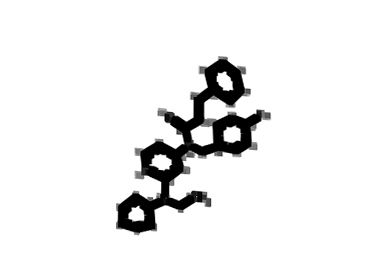 CCN(c1ccccc1)c1cc(N(Cc2ccc(F)cc2)C(=O)C=Cc2ccccc2)ccn1